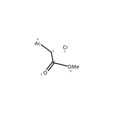 COC(=O)CC(C)=O.[Cr]